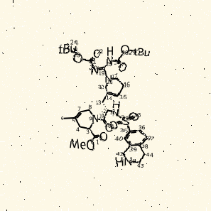 COC(=O)[C@H]1CC(C)=CCN1C(=O)[C@H](CC1=CCCN(C(=NC(=O)OC(C)(C)C)NC(=O)OC(C)(C)C)C1)NS(=O)(=O)c1ccc2c(c1)CNCC2